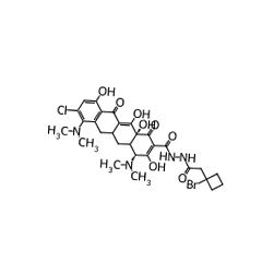 CN(C)c1c(Cl)cc(O)c2c1CC1CC3[C@H](N(C)C)C(O)=C(C(=O)NNC(=O)CC4(Br)CCC4)C(=O)[C@@]3(O)C(O)=C1C2=O